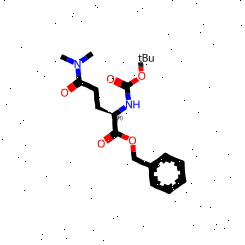 CN(C)C(=O)CC[C@@H](NC(=O)OC(C)(C)C)C(=O)OCc1ccccc1